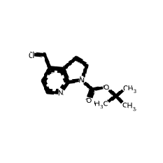 CC(C)(C)OC(=O)N1CCc2c(CCl)ccnc21